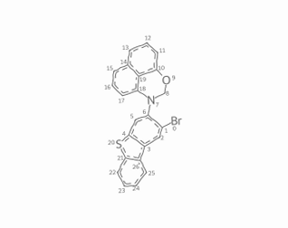 Brc1cc2c(cc1N1COc3cccc4cccc1c34)sc1ccccc12